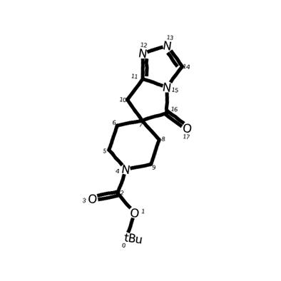 CC(C)(C)OC(=O)N1CCC2(CC1)Cc1nncn1C2=O